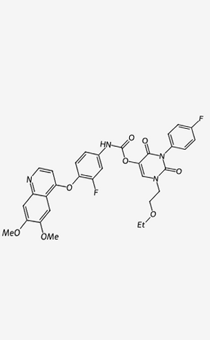 CCOCCn1cc(OC(=O)Nc2ccc(Oc3ccnc4cc(OC)c(OC)cc34)c(F)c2)c(=O)n(-c2ccc(F)cc2)c1=O